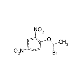 CC(Br)Oc1ccc([N+](=O)[O-])cc1[N+](=O)[O-]